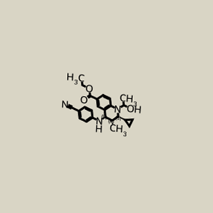 CCOC(=O)c1ccc2c(c1)[C@H](Nc1ccc(C#N)cc1)[C@@H](C)[C@H](C1CC1)N2C(C)O